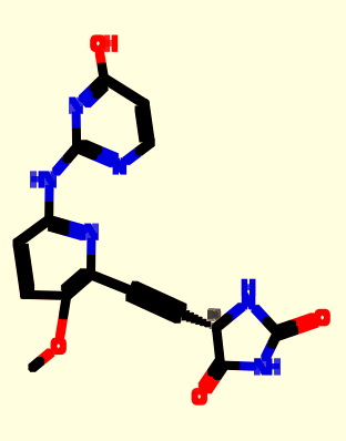 COc1ccc(Nc2nccc(O)n2)nc1C#C[C@@H]1NC(=O)NC1=O